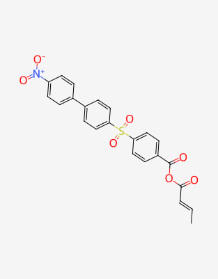 C/C=C/C(=O)OC(=O)c1ccc(S(=O)(=O)c2ccc(-c3ccc([N+](=O)[O-])cc3)cc2)cc1